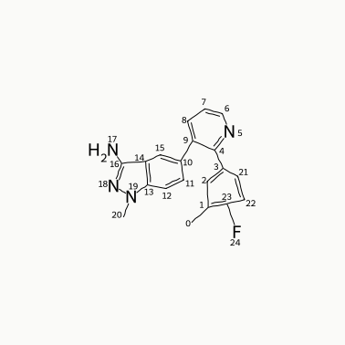 Cc1cc(-c2ncccc2-c2ccc3c(c2)c(N)nn3C)ccc1F